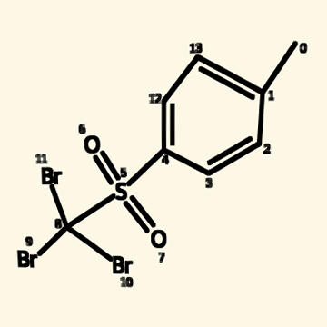 Cc1ccc(S(=O)(=O)C(Br)(Br)Br)cc1